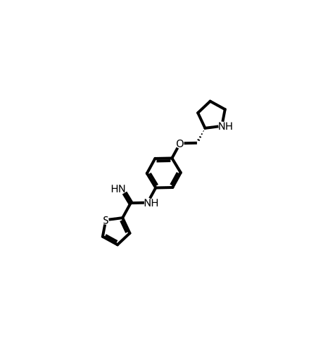 N=C(Nc1ccc(OC[C@@H]2CCCN2)cc1)c1cccs1